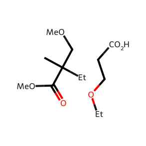 CCC(C)(COC)C(=O)OC.CCOCCC(=O)O